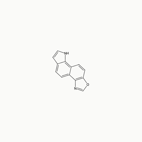 c1cc2ccc3c(ccc4ocnc43)c2[nH]1